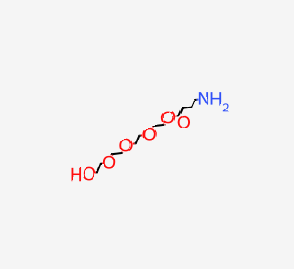 NCCCC(=O)OCCOCCOCCOCCO